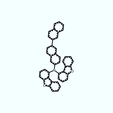 c1ccc2cc(-c3ccc4cc(N(c5cccc6oc7ccccc7c56)c5cccc6oc7ccccc7c56)ccc4c3)ccc2c1